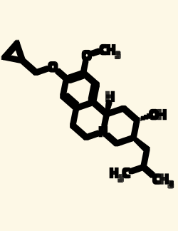 COc1cc2c(cc1OCC1CC1)CCN1C[C@H](CC(C)C)[C@@H](O)C[C@@H]21